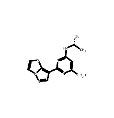 C[C@H](Nc1cc(C(=O)O)nc(-c2cnn3ccsc23)n1)C(C)(C)C